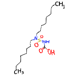 CCCCCCCCN(CCCCCCCC)S(=O)(=O)NC(=O)O